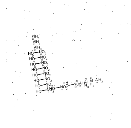 O=[N+]([O-])O.O=[N+]([O-])O.O=[N+]([O-])O.O=[N+]([O-])O.O=[N+]([O-])O.O=[N+]([O-])O.O=[N+]([O-])O.O=[N+]([O-])O.O=[N+]([O-])O.O=[N+]([O-])O.[AlH3].[AlH3].[AlH3].[AlH3].[AlH3].[AlH3].[AlH3]